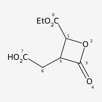 CCOC(=O)C1OC(=O)C1CC(=O)O